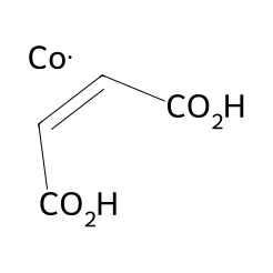 O=C(O)/C=C\C(=O)O.[Co]